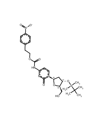 CC(C)(C)[Si](C)(C)O[C@H]1C[C@H](n2ccc(NC(=O)OCCc3ccc([N+](=O)[O-])cc3)nc2=O)O[C@@H]1CO